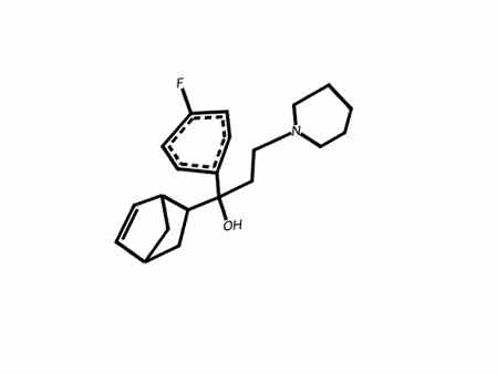 OC(CCN1CCCCC1)(c1ccc(F)cc1)C1CC2C=CC1C2